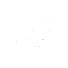 CCn1c(-c2cc(N3CCN(C(=O)OCc4ccccc4)CC3)cnc2[C@H](C)OC)c(CC(C)(C)CO)c2cc(-c3cc(C[C@H](NC(=O)OC(C)(C)C)C(=O)N4CCC[C@@H](C(=O)O)N4)cc(O[Si](C(C)C)(C(C)C)C(C)C)c3)ccc21